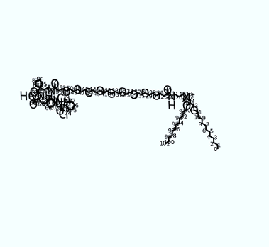 CCCCCCCCCCCCOCC(C[N+](C)(C)CCCNC(=O)CCOCCOCCOCCOCCOCCOCCOCCOCCOCCC(=O)NCCC1(C(=O)N[C@@H](Cc2ccc(NC(=O)c3c(Cl)cccc3Cl)cc2)C(=O)O)CCCC1)OCCCCCCCCCCCC